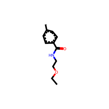 [CH2]c1ccc(C(=O)NCCOCC)cc1